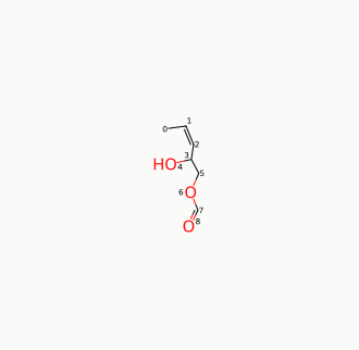 C/C=C\C(O)COC=O